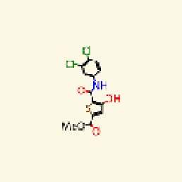 COC(=O)c1cc(O)c(C(=O)Nc2ccc(Cl)c(Cl)c2)s1